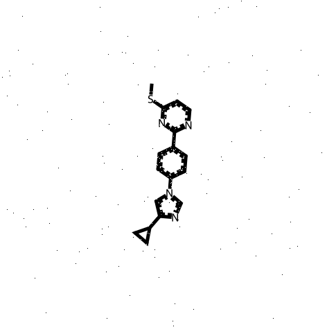 CSc1ccnc(-c2ccc(-n3cnc(C4CC4)c3)cc2)n1